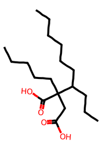 CCCCCCC(CCC)C(CCCCC)(CC(=O)O)C(=O)O